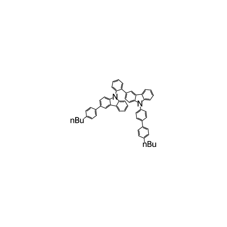 CCCCc1ccc(-c2ccc(-n3c4ccccc4c4cc(-c5ccccc5-n5c6ccccc6c6cc(-c7ccc(CCCC)cc7)ccc65)ccc43)cc2)cc1